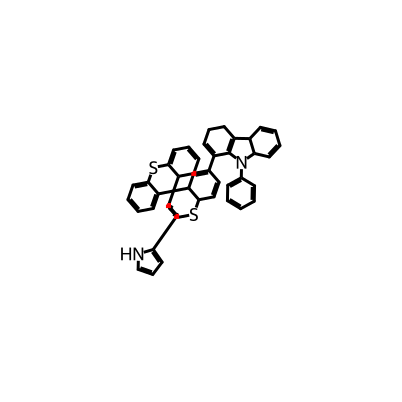 C1=CCC2C(=C1)Sc1ccccc1C21C2C=CC(c3ccc[nH]3)=CC2SC2C=CC(C3=CCCC4=C3N(c3ccccc3)C3C=CC=CC43)=CC21